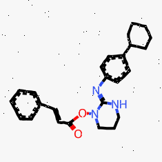 O=C(/C=C/c1ccccc1)ON1CCCNC1=Nc1ccc(C2CCCCC2)cc1